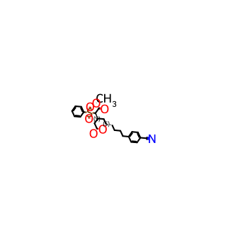 COC(=O)C([C@@H]1CC(=O)O[C@@H](CCCCc2ccc(C#N)cc2)C1)S(=O)(=O)c1ccccc1